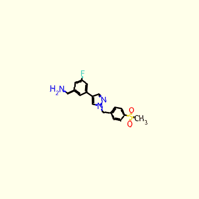 CS(=O)(=O)c1ccc(Cn2cc(-c3cc(F)cc(CN)c3)cn2)cc1